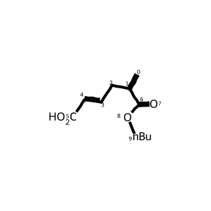 C=C(CC=CC(=O)O)C(=O)OCCCC